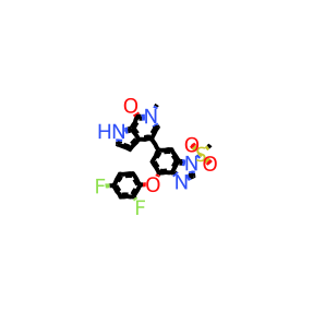 Cn1cc(-c2cc(Oc3ccc(F)cc3F)c3ncn(S(C)(=O)=O)c3c2)c2cc[nH]c2c1=O